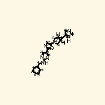 c1ccc(CNc2ncc(-c3nnc(N4C[C@@H]5C(c6cnn[nH]6)[C@@H]5C4)o3)cn2)cc1